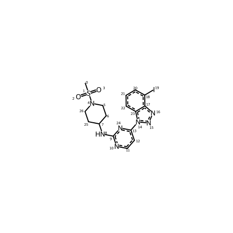 CS(=O)(=O)N1CCC(Nc2nccc(-n3nnc4c(I)cccc43)n2)CC1